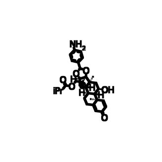 CC(C)C(=O)OCC(=O)[C@@]12OC(c3ccc(N)cc3)O[C@@H]1C[C@H]1[C@@H]3CCC4=CC(=O)C=C[C@]4(C)[C@H]3[C@@H](O)C[C@@]12C